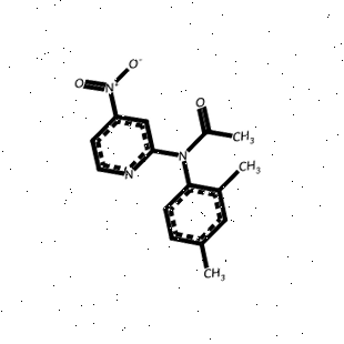 CC(=O)N(c1cc([N+](=O)[O-])ccn1)c1ccc(C)cc1C